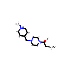 CNCC(=O)N1CCN(CC2CCN(C)CC2)CC1